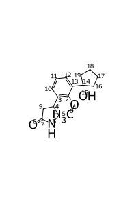 COc1c(C2CNC(=O)C2)cccc1C1(O)CCCC1